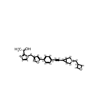 C[C@H](O)c1nccn1Cc1cc(-c2ccc(C#CC3C4CN(CC5COC5)CC34)cc2)on1